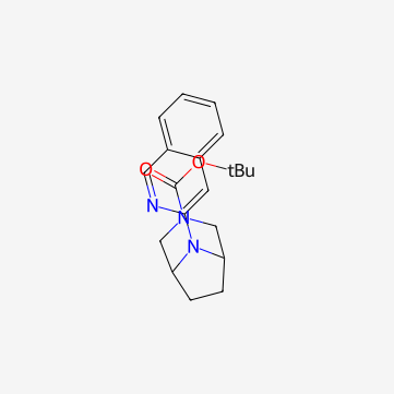 CC(C)(C)OC(=O)N1CC2CCC(C1)N2c1cc2ccccc2cn1